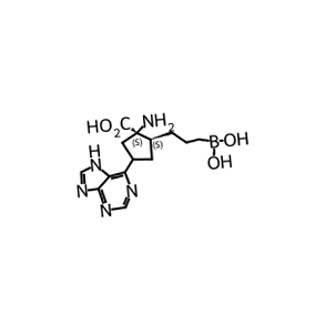 N[C@@]1(C(=O)O)CC(c2ncnc3nc[nH]c23)C[C@@H]1CCCB(O)O